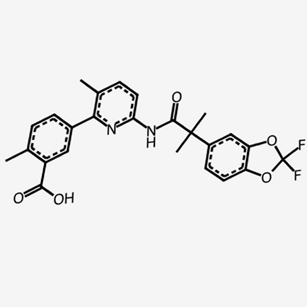 Cc1ccc(-c2nc(NC(=O)C(C)(C)c3ccc4c(c3)OC(F)(F)O4)ccc2C)cc1C(=O)O